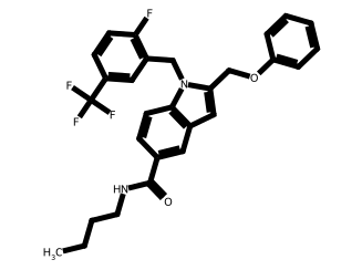 CCCCNC(=O)c1ccc2c(c1)cc(COc1ccccc1)n2Cc1cc(C(F)(F)F)ccc1F